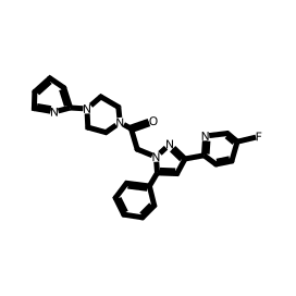 O=C(Cn1nc(-c2ccc(F)cn2)cc1-c1ccccc1)N1CCN(c2ccccn2)CC1